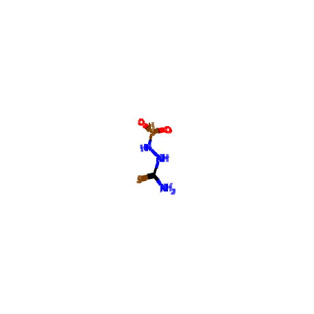 NC(=S)NN[SH](=O)=O